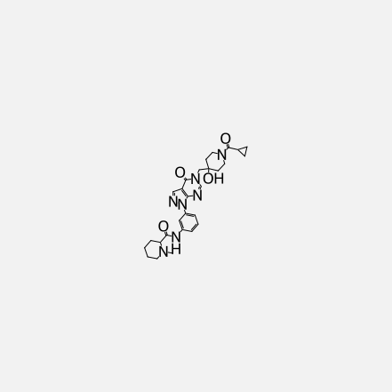 CN1CCCCC1C(=O)Nc1cccc(-n2ncc3c(=O)n(CC4(O)CCN(C(=O)C5CC5)CC4)cnc32)c1